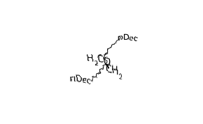 C=C(CCCCCCCCCCCCCCCCCC)OC(=C)CCCCCCCCCCCCCCCCCC